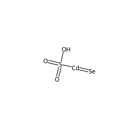 O=[S](=O)(O)[Cd]=[Se]